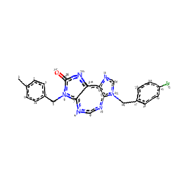 Cc1ccc(Cn2c3ncnc4c(ncn4Cc4ccc(Br)cc4)c-3nc2=O)cc1